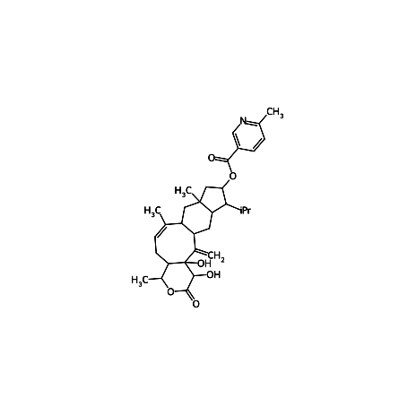 C=C1C2CC3C(C(C)C)C(OC(=O)c4ccc(C)nc4)CC3(C)CC2C(C)=CCC2C(C)OC(=O)C(O)C12O